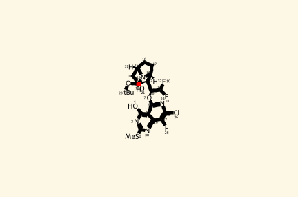 CSc1nc(O)c2c(O[C@H](C(F)F)[C@H]3NC[C@@H]4CC[C@H]3N4C(=O)OC(C)(C)C)nc(Cl)c(F)c2n1